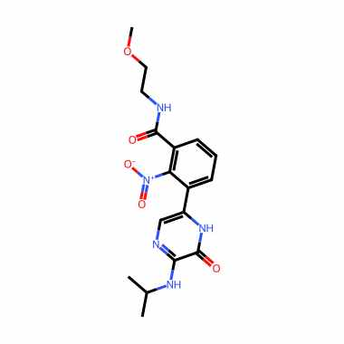 COCCNC(=O)c1cccc(-c2cnc(NC(C)C)c(=O)[nH]2)c1[N+](=O)[O-]